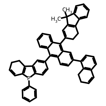 CC1(C)C2=C(CCC(c3c4ccccc4c(-c4ccc5c(c4)c4c(p5-c5ccccc5)C=CCC4)c4ccc(-c5cccc6c5CCC=C6)cc34)=C2)c2ccccc21